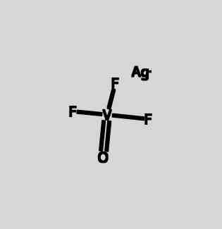 [Ag].[O]=[V]([F])([F])[F]